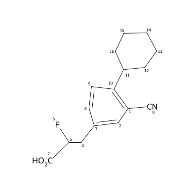 N#Cc1cc(CC(F)C(=O)O)ccc1C1CCCCC1